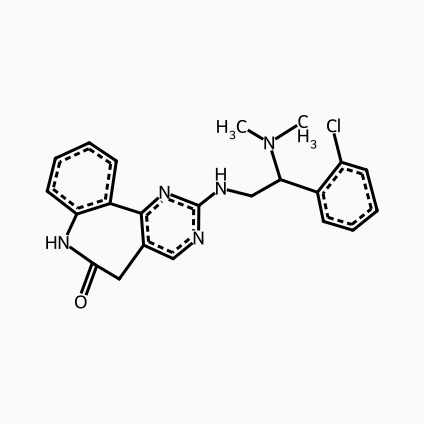 CN(C)C(CNc1ncc2c(n1)-c1ccccc1NC(=O)C2)c1ccccc1Cl